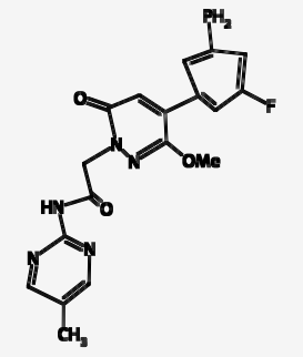 COc1nn(CC(=O)Nc2ncc(C)cn2)c(=O)cc1-c1cc(F)cc(P)c1